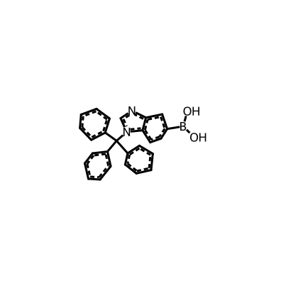 OB(O)c1ccc2c(c1)ncn2C(c1ccccc1)(c1ccccc1)c1ccccc1